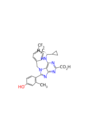 Cc1cc(O)ccc1-c1nc2nc(C(=O)O)nc(N[C@H](C)C3CC3)c2n1Cc1ccc(C(F)(F)F)cc1